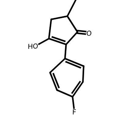 CC1CC(O)=C(c2ccc(F)cc2)C1=O